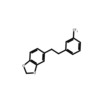 FC(F)(F)c1cccc(C[CH]c2ccc3c(c2)OCO3)c1